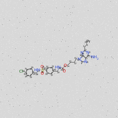 CC(C)CCc1nc(N)c2ncn(CCCCOC(=O)NCc3ccc(S(=O)(=O)NCc4ccc(Cl)cc4)cc3)c2n1